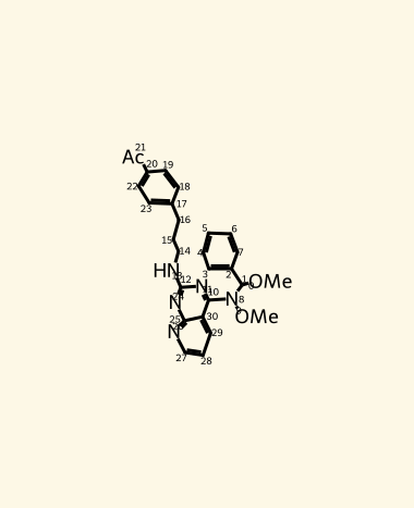 COC(c1ccccc1)N(OC)c1nc(NCCCc2ccc(C(C)=O)cc2)nc2ncccc12